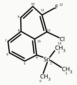 [CH3][Sn]([CH3])([CH3])[c]1cccc2ccc(F)c(Cl)c12